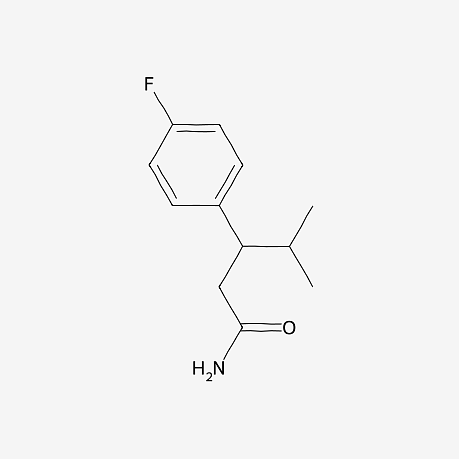 CC(C)C(CC(N)=O)c1ccc(F)cc1